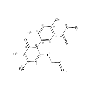 C=CCOc1nc(C(F)(F)F)c(F)c(=O)n1-c1cc(C(=O)OC(C)C)c(Cl)cc1F